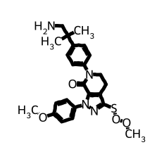 COOSc1nn(-c2ccc(OC)cc2)c2c1CCN(c1ccc(C(C)(C)CN)cc1)C2=O